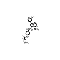 COc1cc(-c2cc(C(=O)NC3CCC(NC(=O)C(C)(C)CN)CC3)c3c(N)ncnn23)ccn1